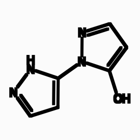 Oc1ccnn1-c1ccn[nH]1